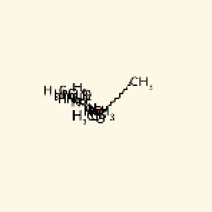 CCCCCCCCCCCCCCCCOP(=O)(O)OC(C)(C)c1ncc(-c2cc3nc(NC(=O)NCC)[nH]c3c(C3CCCO3)c2F)cn1